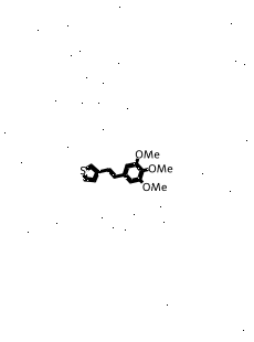 COc1cc(C=Cc2ccsc2)cc(OC)c1OC